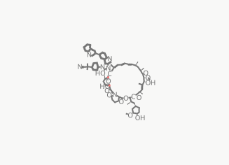 CO[C@@H]1C[C@@H](C[C@@H](C)[C@@H]2CC(=O)[C@H](C)/C=C(\C)[C@@H](O)[C@@H](OC)C(=O)[C@H](C)C[C@H](C)/C=C/C=C/C=C(/C)[C@@H](N3c4cnc5ccc(-c6cnc7ccccc7c6)cc5c4N(c4ccc(C(C)(C)C#N)cc4)C3O)C[C@@H]3CC[C@@H](C)[C@@](O)(O3)C(=O)C(=O)N3CCCCC3C(=O)O2)CC[C@H]1O